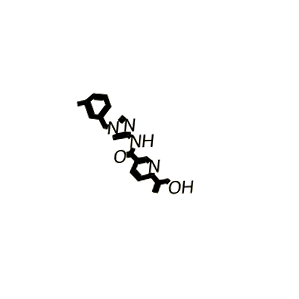 C=C(CO)c1ccc(C(=O)Nc2cn(Cc3cccc(C)c3)cn2)cn1